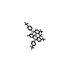 Cc1cc2c3c(c1)N(c1ccc(C(C)(C)C)cc1)c1ccc(C(C)(C)C)c4c1B3c1c(ccc(C(C)(C)C)c1C4(C)C)N2c1ccc(C(C)(C)C)cc1